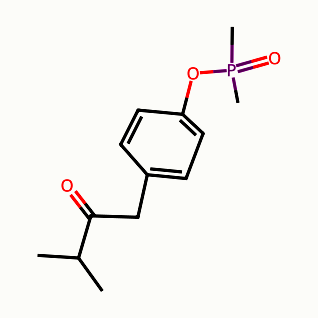 CC(C)C(=O)Cc1ccc(OP(C)(C)=O)cc1